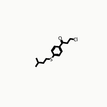 CC(C)CCSc1ccc(C(=O)CCCl)cc1